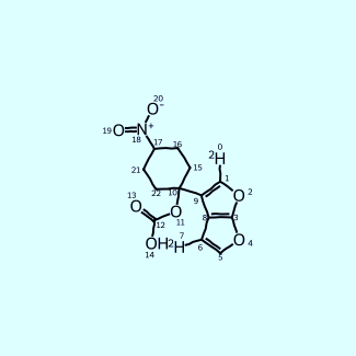 [2H]c1oc2occ([2H])c2c1C1(OC(=O)O)CCC([N+](=O)[O-])CC1